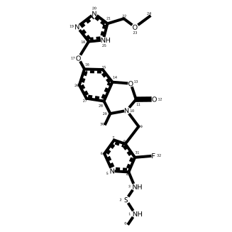 CNSNc1nccc(CN2C(=O)Oc3cc(Oc4nnc(COC)[nH]4)ccc3C2C)c1F